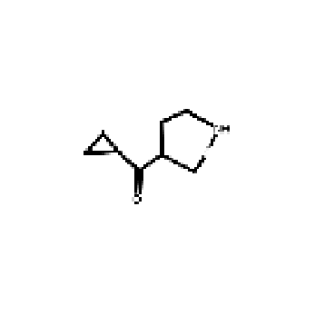 O=C(C1CCNCC1)C1CC1